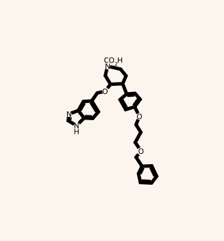 O=C(O)N1CCC(c2ccc(OCCCOCc3ccccc3)cc2)C(OCc2ccc3[nH]cnc3c2)C1